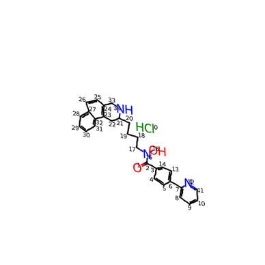 Cl.O=C(c1ccc(-c2ccccn2)cc1)N(O)CCCCC1Cc2c(ccc3ccccc23)CN1